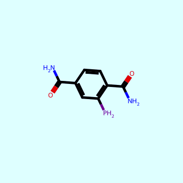 NC(=O)c1ccc(C(N)=O)c(P)c1